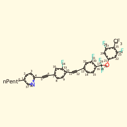 CCCCCc1ccc(C#Cc2ccc(C#Cc3ccc(C(F)(F)Oc4cc(F)c(C(F)(F)F)c(F)c4)c(F)c3)c(F)c2)nc1